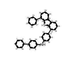 c1ccc(-c2ccc(Nc3ccc(-c4cccc5c4sc4c(-c6ccccc6)cccc45)cc3)cc2)cc1